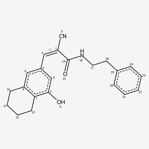 N#C/C(=C/c1cc(O)c2c(c1)CCCC2)C(=O)NCCc1ccccc1